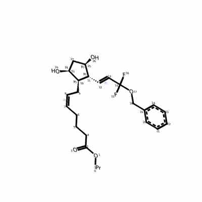 CC(C)OC(=O)CCC/C=C\C[C@@H]1[C@@H](/C=C/C(F)(F)OCc2ccccc2)[C@H](O)C[C@@H]1O